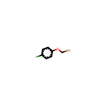 Fc1ccc(OCS)cc1